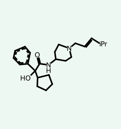 CC(C)/C=C/CN1CCC(NC(=O)C(O)(c2ccccc2)C2CCCC2)CC1